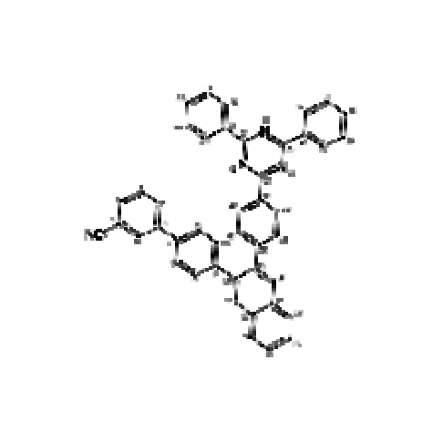 N#Cc1cccc(-c2ccc(-c3cc4ccccc4cc3-c3ccc(-c4nc(-c5ccccc5)nc(-c5ccccc5)n4)cc3)cc2)c1